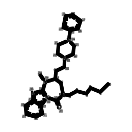 CCCCCCN1CC(CCN2CCN(c3ccccc3)CC2)N(C)c2nc3ccccc3n2C1=O